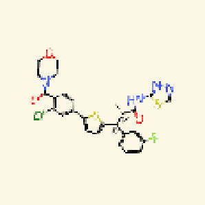 C[C@H](C(=O)Nc1nncs1)[C@@H](c1cccc(F)c1)c1ccc(-c2ccc(C(=O)N3CCOCC3)c(Cl)c2)s1